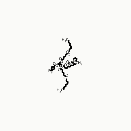 CCCCC/C=C\CCOC(=O)CCCCC(=O)OCC(COC(=O)CCCCC(=O)OCC/C=C\CCCCC)(COC(=O)CCC(CCCCCC)OC(=O)NCCN1CCCC1)COC(=O)C1CC2C(C1)C2(F)F